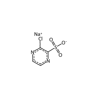 O=S(=O)([O-])c1nccnc1Cl.[Na+]